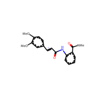 CNC(=O)c1ccccc1NC(=O)/C=C/c1ccc(OC)c(OC)c1